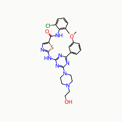 COc1cccc(-c2nc(Nc3ncc(C(=O)Nc4c(C)cccc4Cl)s3)nc(N3CCN(CCO)CC3)n2)c1